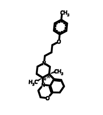 Cc1ccc(OCCCN2CC[C@]3(C)N4CCOC5=C4C(=CCC5)[C@]3(C)C2)cc1